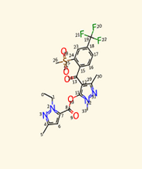 CCn1nc(C)cc1C(=O)Oc1c(C(=O)c2ccc(C(F)(F)F)cc2S(C)(=O)=O)c(C)nn1C